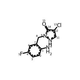 Nc1ccc(F)cc1Cn1[nH]cc(Cl)c1=O